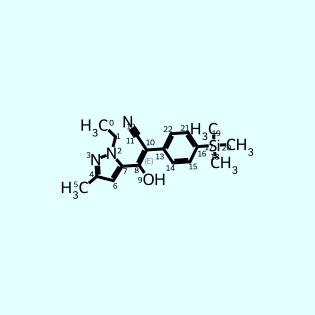 CCn1nc(C)cc1/C(O)=C(\C#N)c1ccc([Si](C)(C)C)cc1